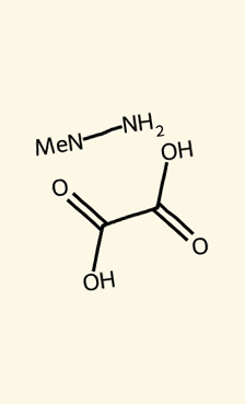 CNN.O=C(O)C(=O)O